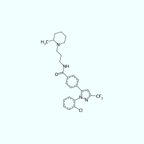 CC1CCCCN1CCCNC(=O)c1ccc(-c2cc(C(F)(F)F)nn2-c2ccccc2Cl)cc1